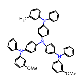 COc1cccc(N(c2ccccc2)c2ccc(N(c3ccc(N(c4ccccc4)c4cccc(C)c4)cc3)c3ccc(N(c4ccccc4)c4cccc(OC)c4)cc3)cc2)c1